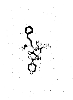 CC(C)C[C@H](NC(=O)N1CCOCC1)C(=O)N[C@H](C#N)CCc1ccccc1